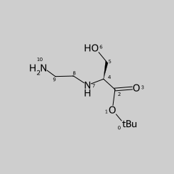 CC(C)(C)OC(=O)[C@H](CO)NCCN